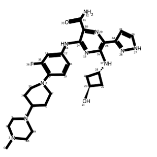 CN1CCN(C2CCN(c3ccc(Nc4nc(N[C@H]5C[C@H](O)C5)c(-c5cc[nH]n5)nc4C(N)=O)cc3F)CC2)CC1